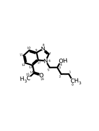 CCCC(O)Cn1cnc2cccc(C(C)=O)c21